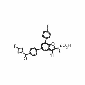 [2H]c1c(N(C)C(=O)O)oc2c(-c3ccc(F)cc3)cc(-c3ccc(C(=O)N4CC(F)C4)cc3)cc12